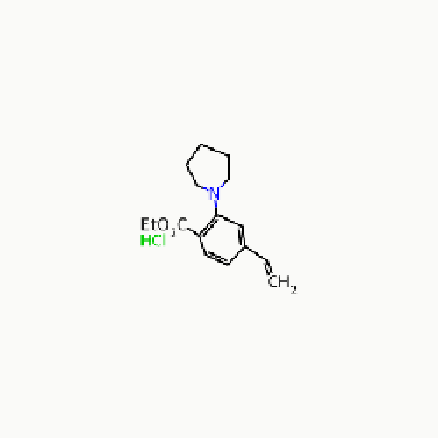 C=Cc1ccc(C(=O)OCC)c(N2CCCCC2)c1.Cl